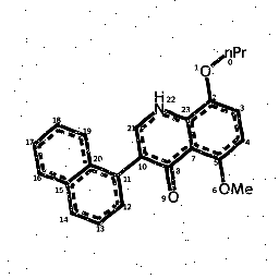 CCCOc1ccc(OC)c2c(=O)c(-c3cccc4ccccc34)c[nH]c12